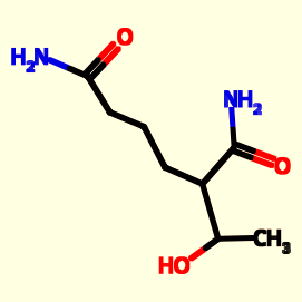 CC(O)C(CCCC(N)=O)C(N)=O